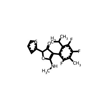 CNC1=C(c2c(F)c(C)c(F)c(F)c2C(C)C)C(=O)C(c2cccs2)O1